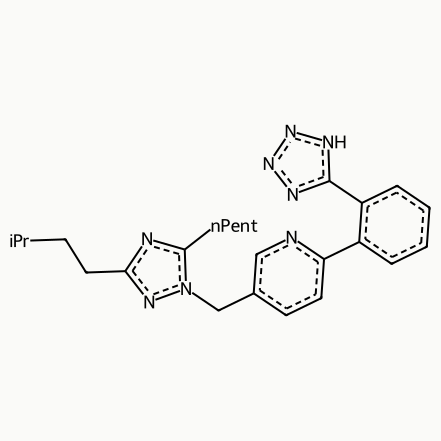 CCCCCc1nc(CCC(C)C)nn1Cc1ccc(-c2ccccc2-c2nnn[nH]2)nc1